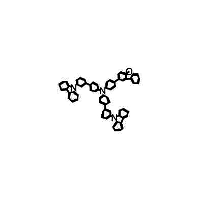 c1cc(-c2ccc(N(c3ccc(-c4cccc(-n5c6ccccc6c6ccccc65)c4)cc3)c3ccc(-c4ccc5oc6ccccc6c5c4)cc3)cc2)cc(-n2c3ccccc3c3ccccc32)c1